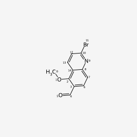 COc1c(C=O)ccc2nc(Br)ccc12